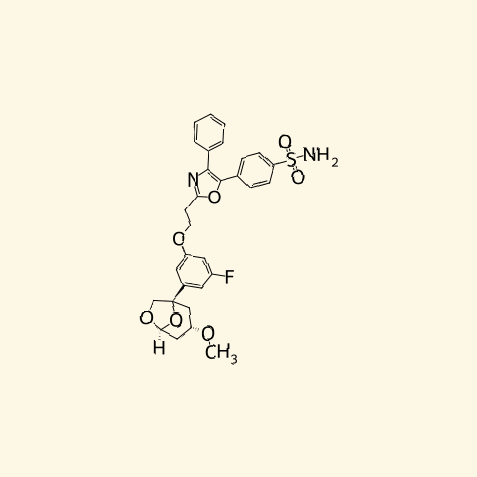 CO[C@@H]1C[C@H]2OC[C@](c3cc(F)cc(OCCc4nc(-c5ccccc5)c(-c5ccc(S(N)(=O)=O)cc5)o4)c3)(C1)O2